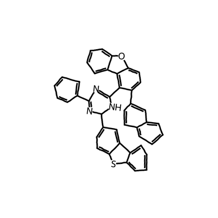 c1ccc(C2=NC(c3ccc4sc5ccccc5c4c3)NC(c3c(-c4ccc5ccccc5c4)ccc4oc5ccccc5c34)=N2)cc1